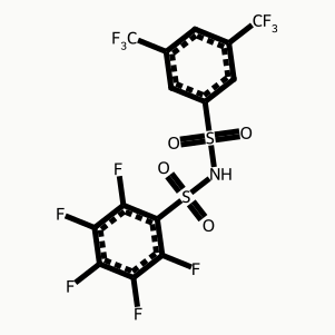 O=S(=O)(NS(=O)(=O)c1c(F)c(F)c(F)c(F)c1F)c1cc(C(F)(F)F)cc(C(F)(F)F)c1